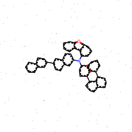 c1ccc(-c2cccc3cccc(-c4ccc(N(c5ccc6cc(-c7ccc8ccccc8c7)ccc6c5)c5cccc6oc7ccccc7c56)cc4)c23)cc1